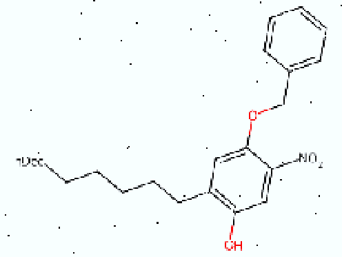 CCCCCCCCCCCCCCCc1cc(OCc2ccccc2)c([N+](=O)[O-])cc1O